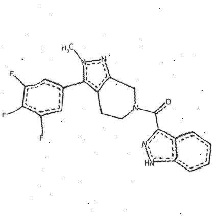 Cn1nc2c(c1-c1cc(F)c(F)c(F)c1)CCN(C(=O)c1n[nH]c3ccccc13)C2